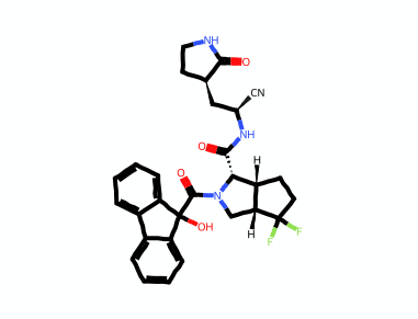 N#C[C@H](C[C@H]1CCNC1=O)NC(=O)[C@@H]1[C@@H]2CCC(F)(F)[C@@H]2CN1C(=O)C1(O)c2ccccc2-c2ccccc21